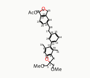 COCC1(COC)Cc2c(cc(C)c(-c3cccc(CCc4ccc5c(c4)CO[C@H]5OC(C)=O)c3)c2C)O1